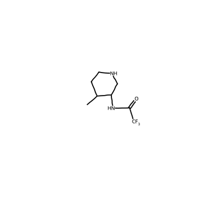 CC1CCNCC1NC(=O)C(F)(F)F